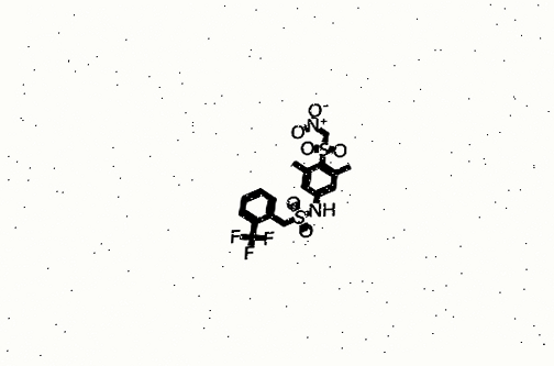 Cc1cc(NS(=O)(=O)Cc2ccccc2C(F)(F)F)cc(C)c1S(=O)(=O)C[N+](=O)[O-]